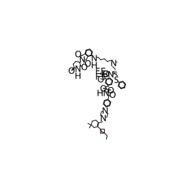 CCC12CC(C3=C(CN4CCN(c5ccc(C(=O)NS(=O)(=O)c6ccc(N[C@H](CCN(C)CCCCCNc7cccc8c7C(=O)N(C7CCC(=O)NC7=O)C8=O)CSc7ccccc7)c(S(=O)(=O)C(F)(F)F)c6)cc5)CC4)CCC(C)(C)C3)(C1)C2